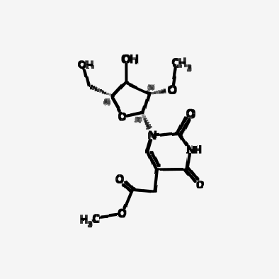 COC(=O)Cc1cn([C@@H]2O[C@H](CO)C(O)[C@@H]2OC)c(=O)[nH]c1=O